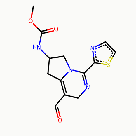 COC(=O)NC1CC2=C(C=O)CN=C(c3nccs3)N2C1